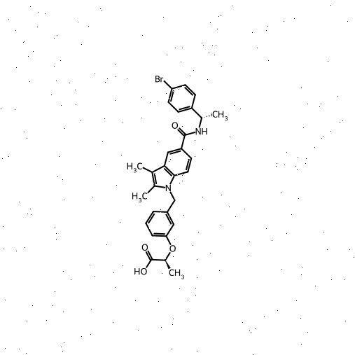 Cc1c(C)n(Cc2cccc(O[C@@H](C)C(=O)O)c2)c2ccc(C(=O)N[C@@H](C)c3ccc(Br)cc3)cc12